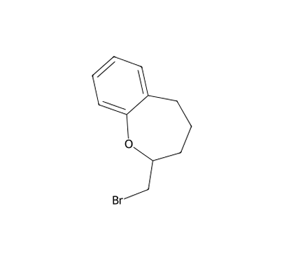 BrCC1CCCc2ccccc2O1